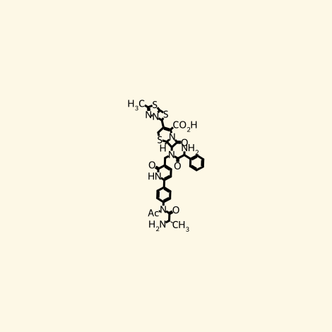 CC(=O)N(C(=O)[C@H](C)N)c1ccc(-c2ccc(CN(C(=O)C(N)c3ccccc3)C3C(=O)N4C(C(=O)O)=C(C5SC6SC(C)=NN65)CS[C@@H]34)c(=O)[nH]2)cc1